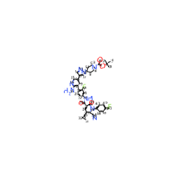 CC(C)(C)OC(=O)N1CCC(n2cc(-c3cnc(N)c(-c4ccc(NC(=O)c5cc(C6CC6)c(C#N)n(-c6ccc(F)cc6)c5=O)cc4F)c3)cn2)CC1